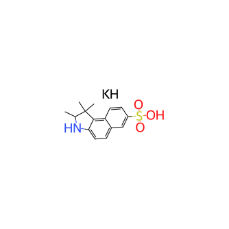 CC1Nc2ccc3cc(S(=O)(=O)O)ccc3c2C1(C)C.[KH]